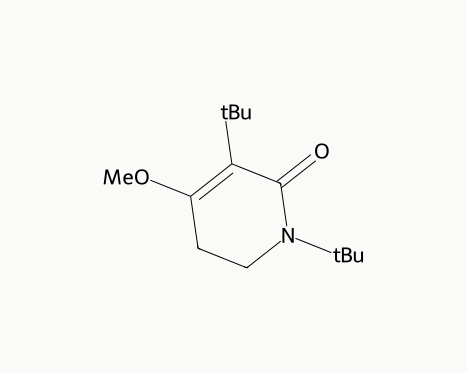 COC1=C(C(C)(C)C)C(=O)N(C(C)(C)C)CC1